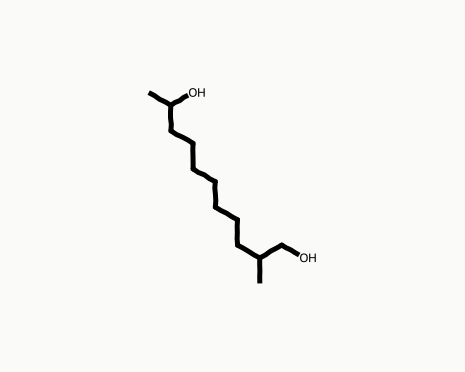 CC(O)CCCCCCCC(C)CO